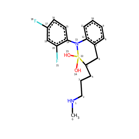 CNCCCC1Cc2ccccc2N(c2ccc(F)cc2F)S1(O)O